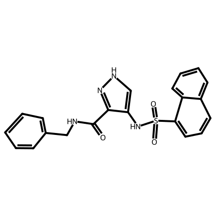 O=C(NCc1ccccc1)c1n[nH]cc1NS(=O)(=O)c1cccc2ccccc12